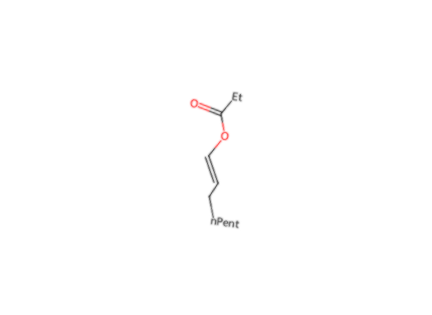 CCCCCCC=COC(=O)CC